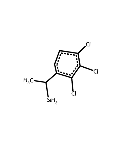 CC([SiH3])c1ccc(Cl)c(Cl)c1Cl